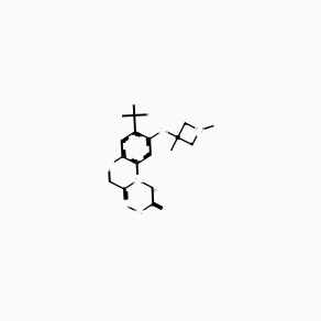 C[C@@H]1C(=O)NN=C2COc3cc(C(F)(F)F)c(NC4(C)CN(C)C4)cc3N21